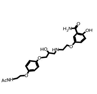 CC(=O)NCCOc1ccc(OCC(O)CNCCOc2ccc(O)c(C(N)=O)c2)cc1